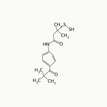 CC(C)(CC(=O)Nc1ccc(C(=O)C(C)(C)C)cc1)SS